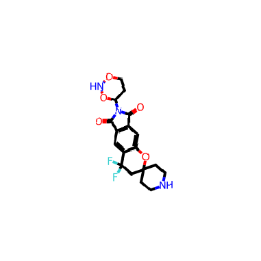 O=C1c2cc3c(cc2C(=O)N1C1CCONO1)C(F)(F)CC1(CCNCC1)O3